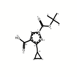 CC(C)(C)OC(=O)n1cc(C(=O)O)c(C2CC2)n1